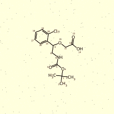 CC(C)(C)OC(=O)NCC(OCC(=O)O)c1ccccc1Cl